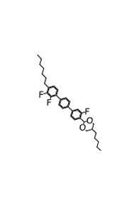 CCCCCCCc1ccc(-c2ccc(-c3ccc(C4OCC(CCCCC)CO4)c(F)c3)cc2)c(F)c1F